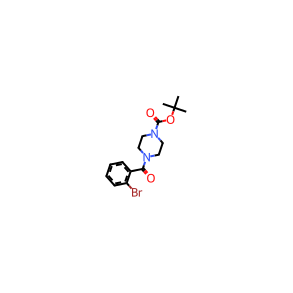 CC(C)(C)OC(=O)N1CCN(C(=O)c2ccccc2Br)CC1